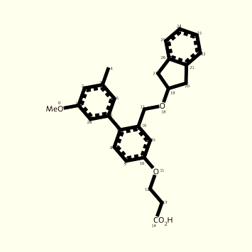 COc1cc(C)cc(-c2ccc(OCCC(=O)O)cc2COC2Cc3ccccc3C2)c1